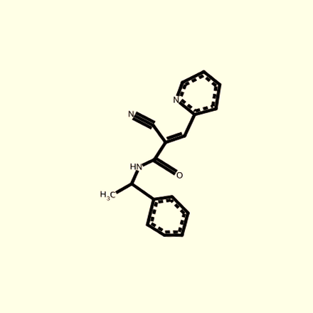 CC(NC(=O)/C(C#N)=C/c1ccccn1)c1ccccc1